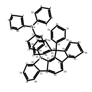 c1ccc(N(c2ccccc2)c2ccc(-n3c4ccccc4c4ccc5c(c43)C(c3ccccc3)(c3ccccc3)c3ccccc3-5)cc2)cc1